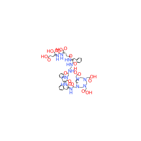 O=C(O)CC[C@H](NC(=O)N[C@@H](CCC(=O)N[C@@H](Cc1ccccc1)C(=O)NCCNC(=O)CNC(=O)[C@H](Cc1ccccc1)NC(=O)[C@H](Cc1ccccc1)NC(=O)CN1CCN(CC(=O)O)CCN(CC(=O)O)CCN(CC(=O)O)CC1)C(=O)O)C(=O)O